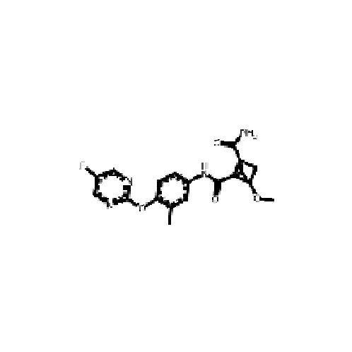 COC12CC(C(N)=O)(C1)C2C(=O)Nc1ccc(Oc2ncc(F)cn2)c(C)c1